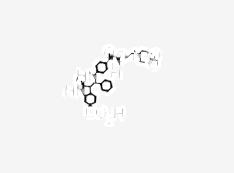 O=C1Nc2cc(C(=O)O)ccc2C1=C(Nc1ccc(C(=O)NOCCN2CCS(=O)(=O)CC2)cc1)c1ccccc1